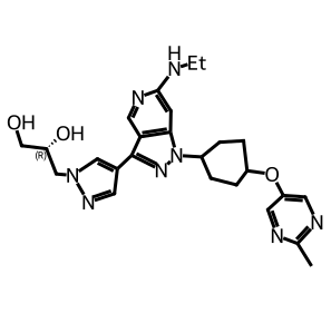 CCNc1cc2c(cn1)c(-c1cnn(C[C@@H](O)CO)c1)nn2C1CCC(Oc2cnc(C)nc2)CC1